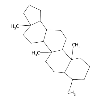 CC1CCCC2(C)C1CCC1(C)C3CCC4(C)CCCC4C3CCC21